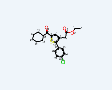 CCOC(=O)Cc1cc(C(=O)C2CCCCC2)sc1-c1ccc(Cl)cc1